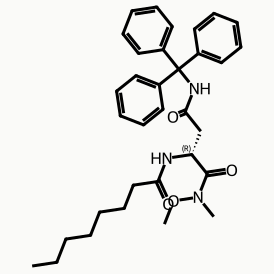 CCCCCCCC(=O)N[C@H](CC(=O)NC(c1ccccc1)(c1ccccc1)c1ccccc1)C(=O)N(C)OC